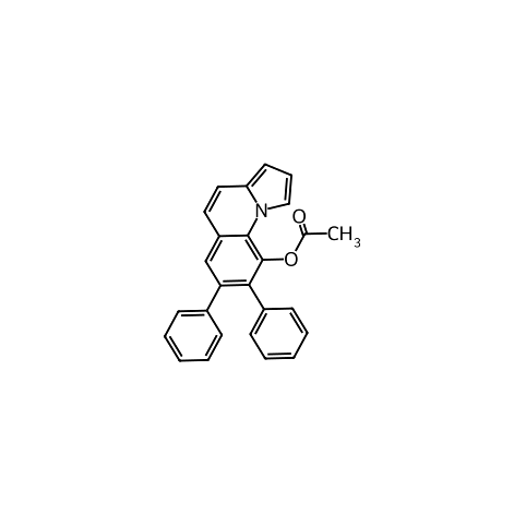 CC(=O)Oc1c(-c2ccccc2)c(-c2ccccc2)cc2ccc3cccn3c12